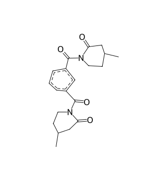 CC1CCN(C(=O)c2cccc(C(=O)N3CCC(C)CC3=O)c2)C(=O)C1